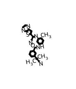 Cc1ccc(NC(=O)c2cccc(C(C)(C)C#N)c2)cc1N=C(C#N)c1cc2nccnc2s1